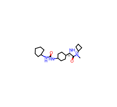 CN(C(=O)[C@@H](N)C1CCC(NC(=O)NC2CCCCC2)CC1)C1CCC1